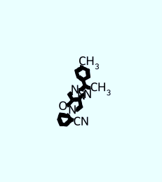 Cc1ccc(-c2c(C)nn3c2ncc2c(=O)n(-c4ccccc4C#N)ccc23)cc1